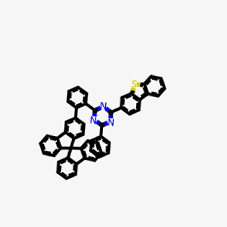 c1ccc(-c2nc(-c3ccc4c(c3)sc3ccccc34)nc(-c3ccccc3-c3ccc4c(c3)-c3ccccc3C43c4ccccc4-c4ccccc43)n2)cc1